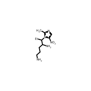 CCC(C(N)CCCN)n1c([N+](=O)[O-])cnc1C